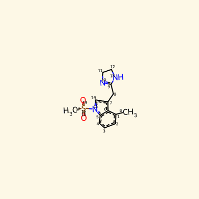 Cc1cccc2c1c(CC1=NCCN1)cn2S(C)(=O)=O